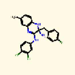 Cc1ccc2c(c1)N=C(Nc1ccc(Cl)c(Cl)c1)C(N)(Cc1ccc(Cl)cc1)N2